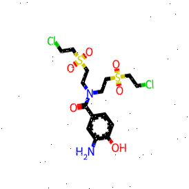 Nc1cc(C(=O)N(CCS(=O)(=O)CCCl)CCS(=O)(=O)CCCl)ccc1O